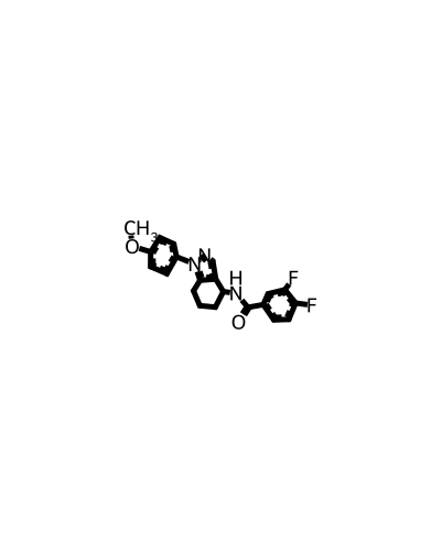 COc1ccc(-n2ncc3c2CCCC3NC(=O)c2ccc(F)c(F)c2)cc1